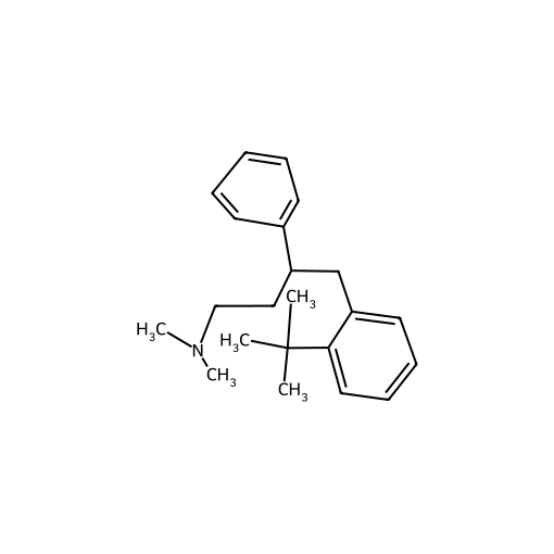 CN(C)CCC(Cc1ccccc1C(C)(C)C)c1ccccc1